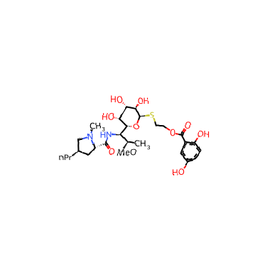 CCC[C@@H]1C[C@@H](C(=O)N[C@@H]([C@H]2O[C@H](SCCOC(=O)c3cc(O)ccc3O)[C@H](O)[C@@H](O)[C@H]2O)[C@@H](C)OC)N(C)C1